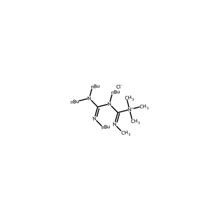 CCCCN=C(N(CCCC)CCCC)N(CCCC)C(=NC)[N+](C)(C)C.[Cl-]